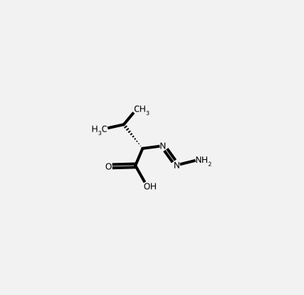 CC(C)[C@H](N=NN)C(=O)O